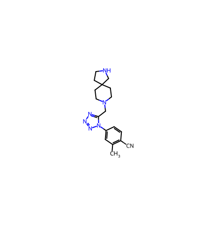 Cc1cc(-n2nnnc2CN2CCC3(CCNC3)CC2)ccc1C#N